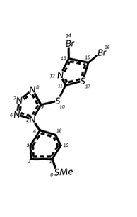 CSc1ccc(-n2nnnc2Sc2nc(Br)c(Br)s2)cc1